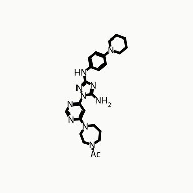 CC(=O)N1CCCN(c2cc(-n3nc(Nc4ccc(N5CCCCC5)cc4)nc3N)ncn2)CC1